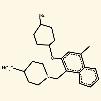 Cc1cc(OC2CCC(C(C)(C)C)CC2)c(CN2CCC(C(=O)O)CC2)c2ccccc12